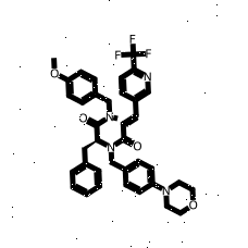 COc1ccc(CN(C)C(=O)[C@H](Cc2ccccc2)N(Cc2ccc(N3CCOCC3)cc2)C(=O)/C=C/c2ccc(C(F)(F)F)nc2)cc1